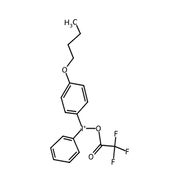 CCCCOc1ccc([I+](OC(=O)C(F)(F)F)c2ccccc2)cc1